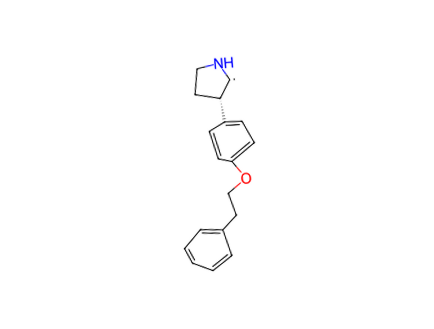 [CH]1NCC[C@H]1c1ccc(OCCc2ccccc2)cc1